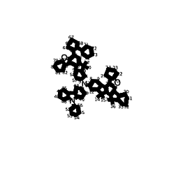 CC1(C)c2cc(N(c3ccc4c(c3)C(C)(C)c3c5c(c6oc7ccccc7c6c3-4)-c3ccccc3C5(C)C)c3ccc4c(c3)c3ccccc3n4-c3ccccc3)ccc2-c2c1cc(-c1ccccc1-c1ccccc1)c1oc3ccccc3c21